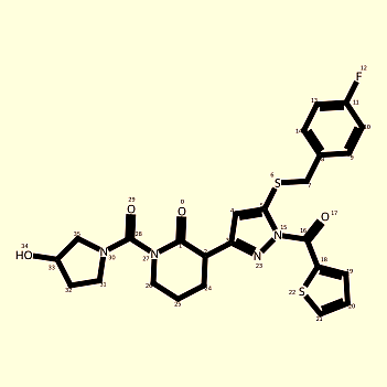 O=C1C(c2cc(SCc3ccc(F)cc3)n(C(=O)c3cccs3)n2)CCCN1C(=O)N1CCC(O)C1